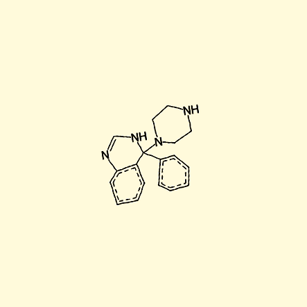 C1=Nc2ccccc2C(c2ccccc2)(N2CCNCC2)N1